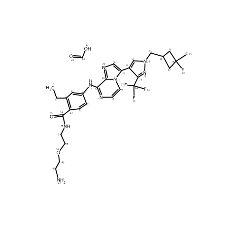 CCc1cc(Nc2nccn3c(-c4cn(CC5CC(F)(F)C5)nc4C(F)(F)F)cnc23)ccc1C(=O)NCCOCCN.O=CO